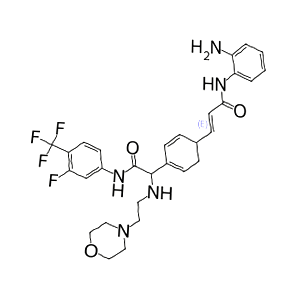 Nc1ccccc1NC(=O)/C=C/C1C=CC(C(NCCN2CCOCC2)C(=O)Nc2ccc(C(F)(F)F)c(F)c2)=CC1